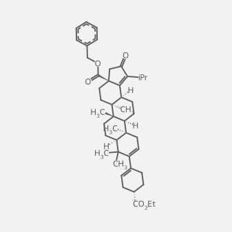 CCOC(=O)[C@@H]1CC=C(C2=CC[C@@]3(C)[C@H](CC[C@@]4(C)[C@H]3CC[C@@H]3C5=C(C(C)C)C(=O)C[C@@]5(C(=O)OCc5ccccc5)CC[C@@]34C)C2(C)C)CC1